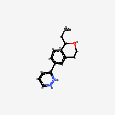 CNCC1OCCc2cc(-c3cccnn3)ccc21